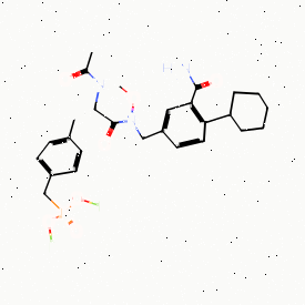 CON(Cc1ccc(C2CCCCC2)c(C(N)=O)c1)C(=O)[C@H](Cc1ccc(CP(=O)(OF)OF)cc1)NC(C)=O